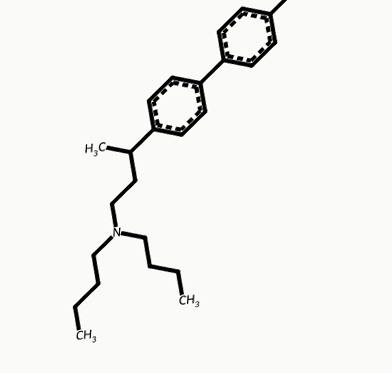 CCCCN(CCCC)CCC(C)c1ccc(-c2ccc(F)cc2)cc1